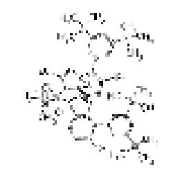 CCC1=Cc2c(ccc(C(C)C)c2-c2cc([Si](C)(C)C)cc([Si](C)(C)C)c2)[CH]1[Zr]([Cl])([Cl])([CH]1C(CC)=Cc2c1ccc(C(C)C)c2-c1cc([Si](C)(C)C)cc([Si](C)(C)C)c1)[SiH](C)C